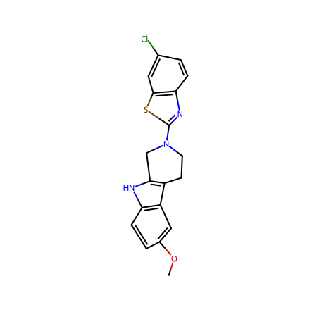 COc1ccc2[nH]c3c(c2c1)CCN(c1nc2ccc(Cl)cc2s1)C3